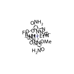 CCn1nc(C)cc1C(=O)Nc1nc2cc(C(N)=O)cc(OC)n2c1C/C=C/Cn1c2nc(-c3cc(C)nn3CC)ncc2c2cc(C(N)=O)cc(OCCOC(F)F)c21